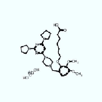 COc1ccc(CN2CCN(c3cc(N4CCCC4)nc(N4CCCC4)n3)CC2)c(OCCCCCCC(=O)O)c1OC.Cl.Cl.Cl.Cl